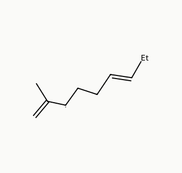 C=C(C)[CH]CCC=CCC